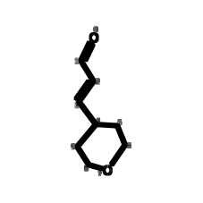 O=C/C=C/C1CCOCC1